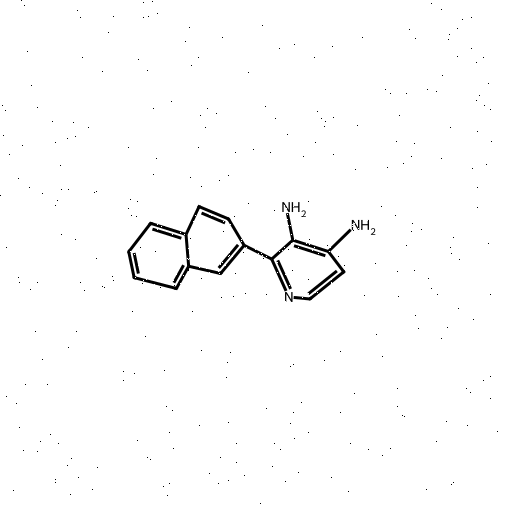 Nc1ccnc(-c2ccc3ccccc3c2)c1N